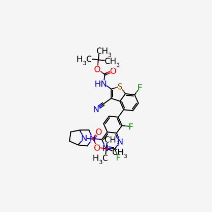 CC(C)(C)OC(=O)Nc1sc2c(F)ccc(-c3ccc4c(N5CC6CCC(C5)N6C(=O)OC(C)(C)C)nc(F)nc4c3F)c2c1C#N